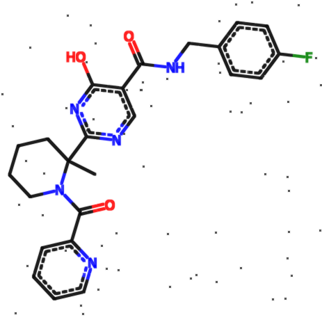 CC1(c2ncc(C(=O)NCc3ccc(F)cc3)c(O)n2)CCCCN1C(=O)c1ccccn1